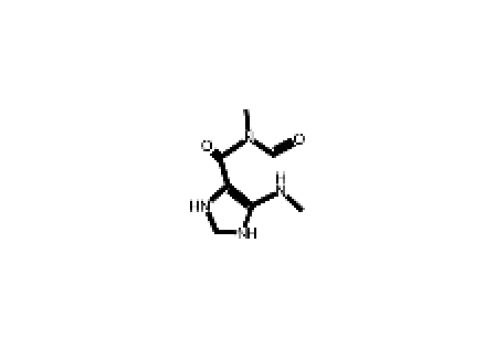 CNC1=C(C(=O)N(C)C=O)NCN1